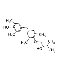 Cc1cc(Cc2cc(C)c(OCC(O)C(C)C)c(C)c2)cc(C)c1O